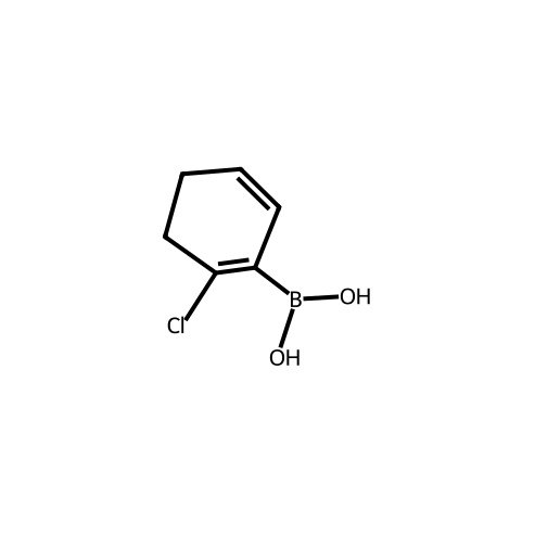 OB(O)C1=C(Cl)CCC=C1